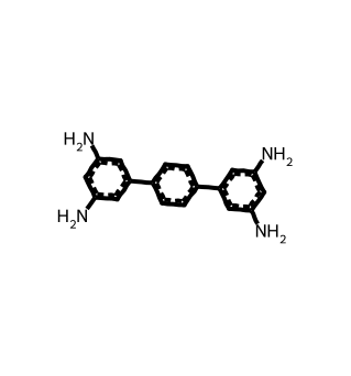 Nc1cc(N)cc(-c2ccc(-c3cc(N)cc(N)c3)cc2)c1